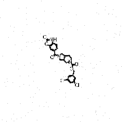 O=C(OCc1cc(Cl)cc(Cl)c1)N1CCC2CN(C(=O)c3ccc4[nH]c(=O)oc4c3)CC2C1